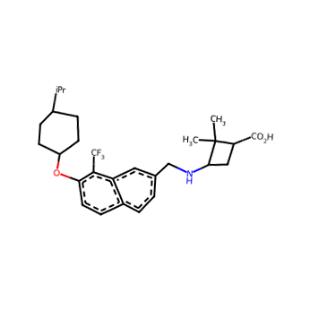 CC(C)C1CCC(Oc2ccc3ccc(CNC4CC(C(=O)O)C4(C)C)cc3c2C(F)(F)F)CC1